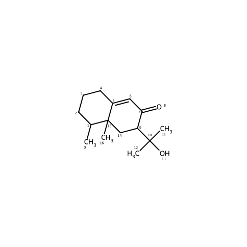 CC1CCCC2=CC(=O)C(C(C)(C)O)CC21C